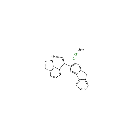 CCCCCCC=C(c1ccc2c(c1)-c1ccccc1C2)c1cccc2c1CC=C2.[Cl-].[Cl-].[Zr+2]